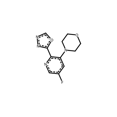 Fc1cnc(-c2nnco2)c(N2CCOCC2)c1